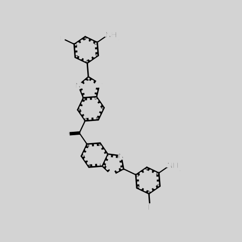 Nc1cc(F)cc(-c2nc3cc(C(=O)c4ccc5oc(-c6cc(N)cc(F)c6)nc5c4)ccc3o2)c1